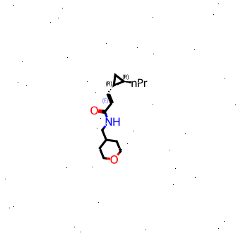 CCC[C@@H]1C[C@H]1/C=C/C(=O)NCC1CCOCC1